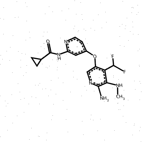 CNc1c(N)ncc(Oc2ccnc(NC(=O)C3CC3)c2)c1C(F)F